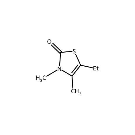 CCc1sc(=O)n(C)c1C